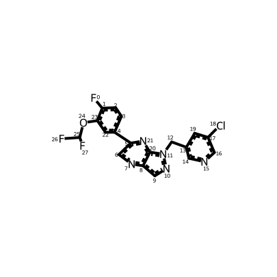 Fc1ccc(-c2cnc3cnn(Cc4cncc(Cl)c4)c3n2)cc1OC(F)F